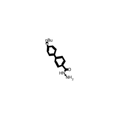 CCCCOc1ccc(-c2ccc(C(=O)NN)cc2)cc1